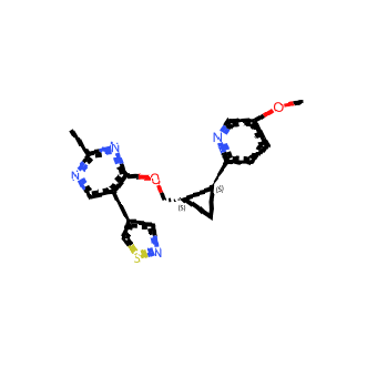 COc1ccc([C@H]2C[C@@H]2COc2nc(C)ncc2-c2cnsc2)nc1